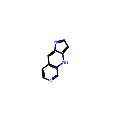 c1cc2cc3nccc-3[nH]c2cn1